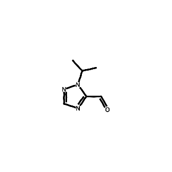 CC(C)n1ncnc1C=O